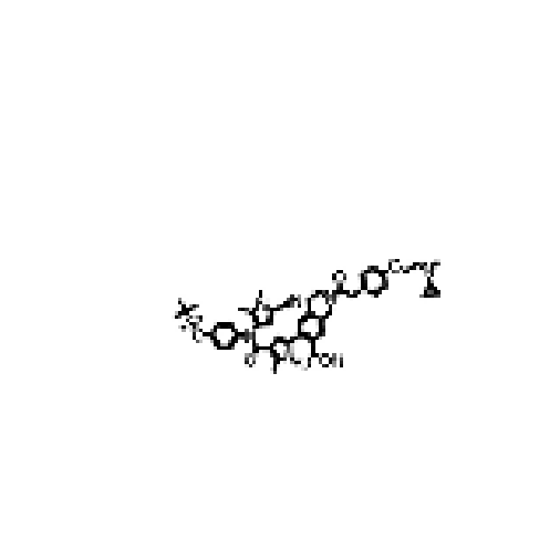 Cc1c(N(C(=O)c2cc(-c3cc4c(cc3C(=O)O)CN(C(=O)Cc3ccc(OCCN(C)C5CC5)cc3)CC4)n(C)c2C)c2ccc(O[Si](C)(C)C(C)(C)C)cc2)cc(C#N)n1C